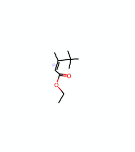 CCOC(=O)/C=C(/C)C(C)(C)C